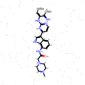 CN/C=C(/Nc1nccc(-c2c[nH]c3c(NC(=O)CN4CCN(C)CC4)cccc23)n1)C(=N)OC